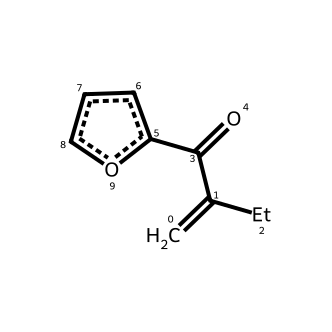 C=C(CC)C(=O)c1ccco1